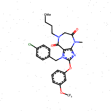 COCCCN1CC(=O)N(C)c2nc(Oc3cccc(OC(F)(F)F)c3)n(Cc3ccc(Cl)cc3)c2C1=O